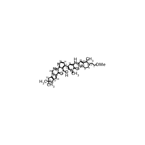 COCCN1CCn2nc(Nc3cc(-c4ccnc(-n5ncn6c7c(cc6c5=O)CC(C)(C)C7)c4CO)cn(C)c3=O)cc2C1C